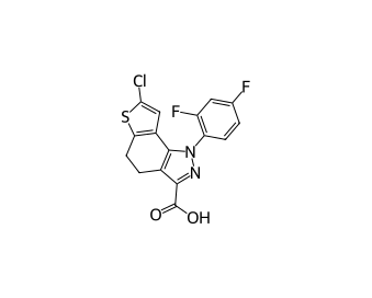 O=C(O)c1nn(-c2ccc(F)cc2F)c2c1CCc1sc(Cl)cc1-2